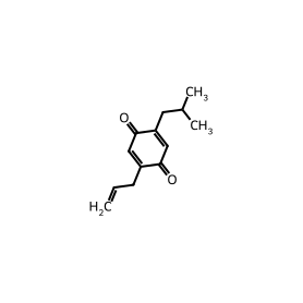 C=CCC1=CC(=O)C(CC(C)C)=CC1=O